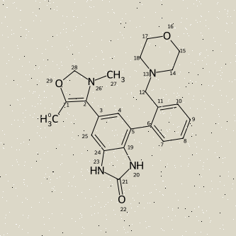 CC1=C(c2cc(-c3ccccc3CN3CCOCC3)c3[nH]c(=O)[nH]c3c2)N(C)CO1